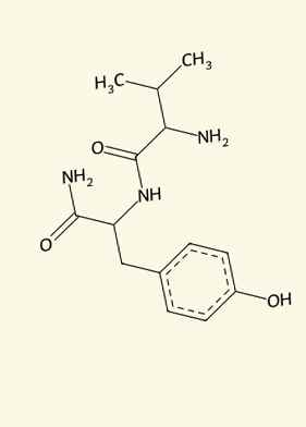 CC(C)C(N)C(=O)NC(Cc1ccc(O)cc1)C(N)=O